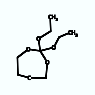 CCOC1(OCC)OCCCCO1